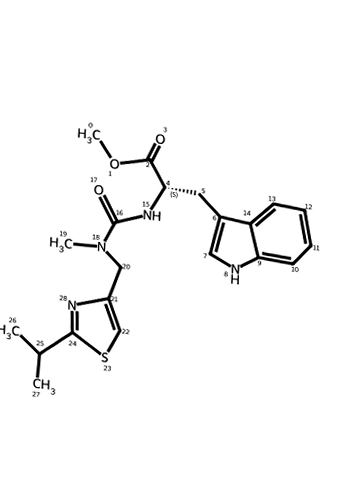 COC(=O)[C@H](Cc1c[nH]c2ccccc12)NC(=O)N(C)Cc1csc(C(C)C)n1